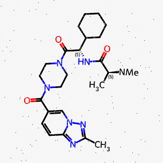 CN[C@@H](C)C(=O)N[C@H](C(=O)N1CCN(C(=O)c2ccc3nc(C)nn3c2)CC1)C1CCCCC1